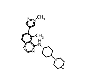 Cc1c(-c2cnn(C)c2)ccc2ncnc(N[C@H]3CC[C@H](N4CCOCC4)CC3)c12